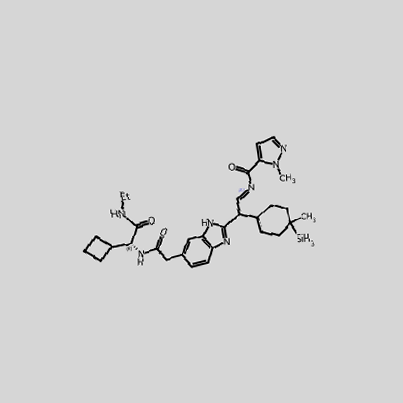 CCNC(=O)[C@H](NC(=O)Cc1ccc2nc(C(/C=N/C(=O)c3ccnn3C)C3CCC(C)([SiH3])CC3)[nH]c2c1)C1CCC1